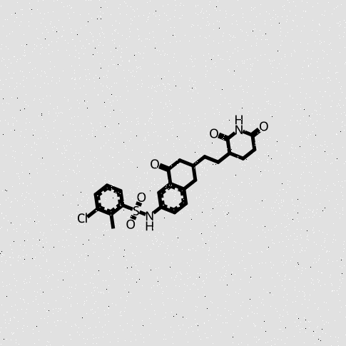 Cc1c(Cl)cccc1S(=O)(=O)Nc1ccc2c(c1)C(=O)CC(CCC1CCC(=O)NC1=O)C2